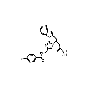 O=C(CC(Cc1cc2ccccc2s1)n1cc(CNC(=O)c2ccc(F)cc2)nn1)NO